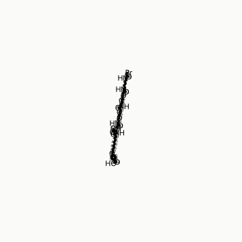 O=C(CBr)NCCCCCNC(=O)COCCOCCNC(=O)COCCOCCNC(=O)CC[C@H](NC(=O)CCCCCCCCCOc1ccc(C(=O)O)cc1)C(=O)O